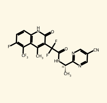 Cc1c(C(F)(F)C(=O)N[C@@H](C)c2ncc(C#N)cn2)c(=O)[nH]c2ccc(F)c(C(F)(F)F)c12